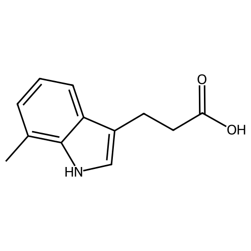 Cc1cccc2c(CCC(=O)O)c[nH]c12